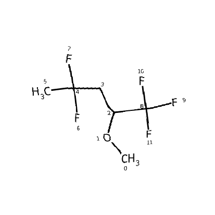 COC(CC(C)(F)F)C(F)(F)F